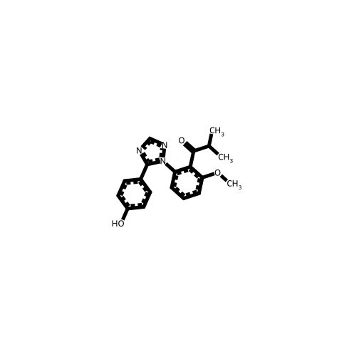 COc1cccc(-n2ncnc2-c2ccc(O)cc2)c1C(=O)C(C)C